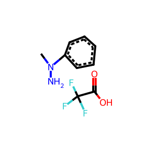 CN(N)c1ccccc1.O=C(O)C(F)(F)F